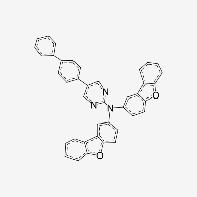 c1ccc(-c2ccc(-c3cnc(N(c4ccc5oc6ccccc6c5c4)c4ccc5oc6ccccc6c5c4)nc3)cc2)cc1